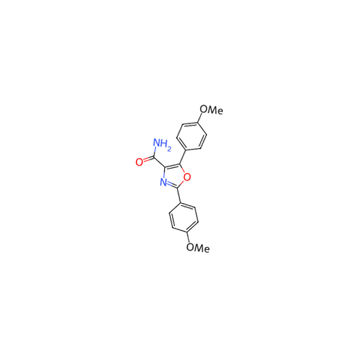 COc1ccc(-c2nc(C(N)=O)c(-c3ccc(OC)cc3)o2)cc1